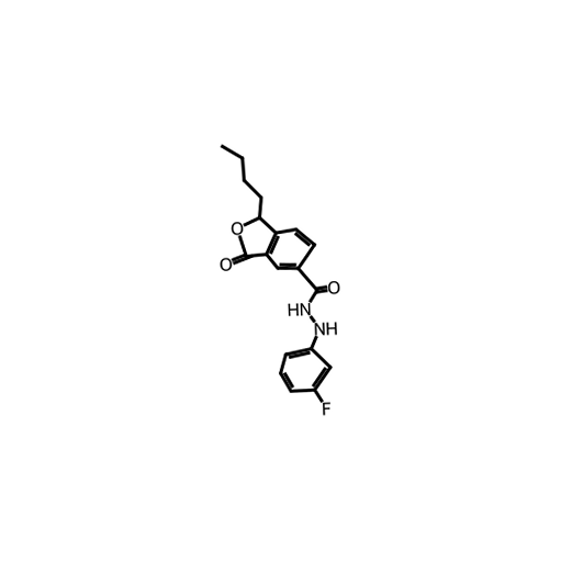 CCCCC1OC(=O)c2cc(C(=O)NNc3cccc(F)c3)ccc21